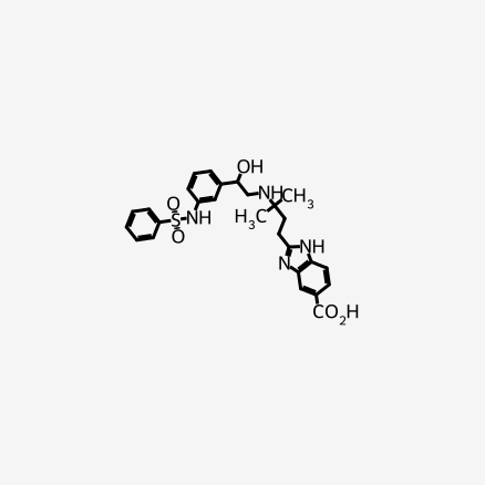 CC(C)(CCc1nc2cc(C(=O)O)ccc2[nH]1)NCC(O)c1cccc(NS(=O)(=O)c2ccccc2)c1